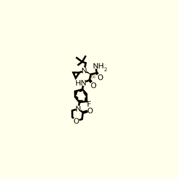 CC(C)(C)CN(C1CC1)[C@@H](C(N)=O)C(=O)Nc1ccc(N2CCOCC2=O)c(F)c1